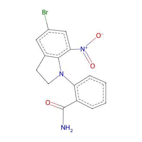 NC(=O)c1ccccc1N1CCc2cc(Br)cc([N+](=O)[O-])c21